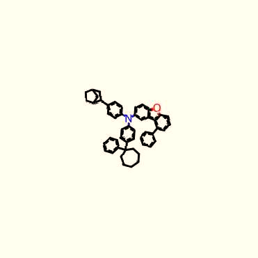 c1ccc(-c2cccc3oc4ccc(N(c5ccc(C6CC7CCC6C7)cc5)c5ccc(C6(c7ccccc7)CCCCCC6)cc5)cc4c23)cc1